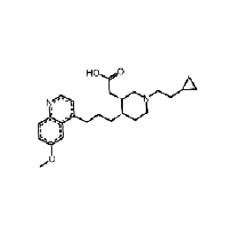 COc1ccc2nccc(CCC[C@@H]3CCN(CCC4CC4)C[C@@H]3CC(=O)O)c2c1